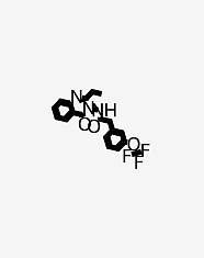 CCc1nc2ccccc2c(=O)n1NC(=O)Cc1cccc(OC(F)(F)F)c1